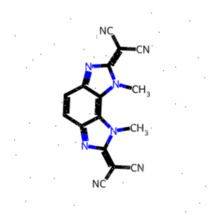 Cn1c(=C(C#N)C#N)nc2ccc3nc(=C(C#N)C#N)n(C)c3c21